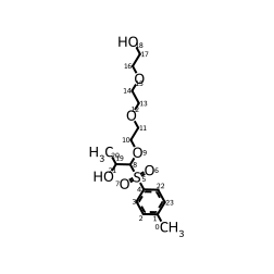 Cc1ccc(S(=O)(=O)C(OCCOCCOCCO)C(C)O)cc1